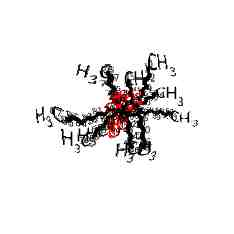 CCCCCCCCCC(CCCCCC)(CCCCCCCC)OC(CC(=O)O)(C(=O)O)C(C(=O)OC(C)=O)(C(CCCCCC)(CCCCCCCC)CCCCCCCCC)C(CCCCCC)(CCCCCCCC)CCCCCCCCC